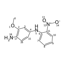 COc1cc(Nc2ccccc2[N+](=O)[O-])ccc1N